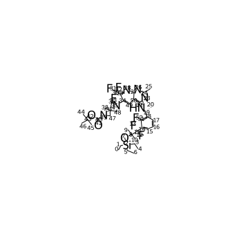 CC[Si](CC)(CC)OC(C)(C)C(F)(F)c1cccc([C@@H](C)Nc2nc(C)nc3nc(C(F)(F)F)c(N4CC5(CN(C(=O)OC(C)(C)C)C5)C4)cc23)c1F